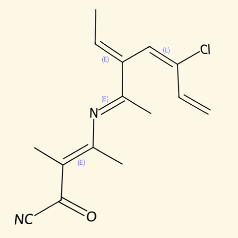 C=C\C(Cl)=C/C(=C\C)C(/C)=N/C(C)=C(\C)C(=O)C#N